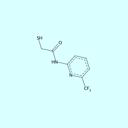 O=C(CS)Nc1cccc(C(F)(F)F)n1